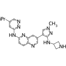 CC(C)c1cnnc(Nc2ccc3ncc(-c4cn(C)nc4NC4CNC4)cc3n2)c1